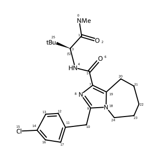 CNC(=O)[C@@H](NC(=O)c1nc(Cc2ccc(Cl)cc2)n2c1CCCCC2)C(C)(C)C